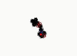 C1=CC2=C(CC1)C1(c3cc4c(cc32)Oc2ccc(-c3ccc(N(c5ccccc5)c5cccc6oc7ccccc7c56)cc3)cc2O4)c2ccccc2-c2ccccc21